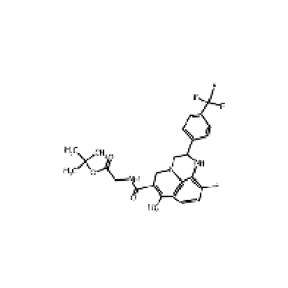 CC(C)(C)OC(=O)CNC(=O)C1=C(O)c2ccc(F)c3c2N(C1)CC(c1ccc(C(F)(F)F)cc1)N3